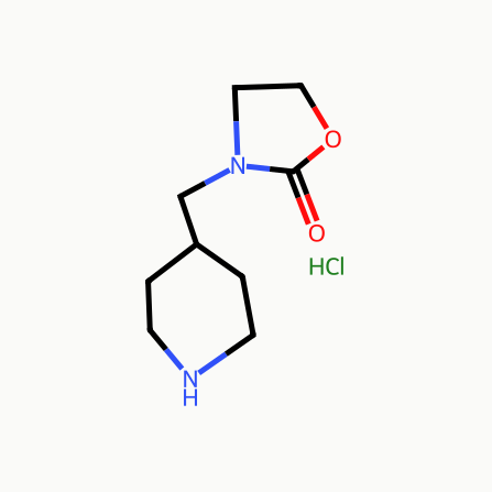 Cl.O=C1OCCN1CC1CCNCC1